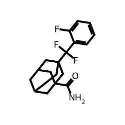 NC(=O)C12CC3CC(C1)CC(C(F)(F)c1ccccc1F)(C3)C2